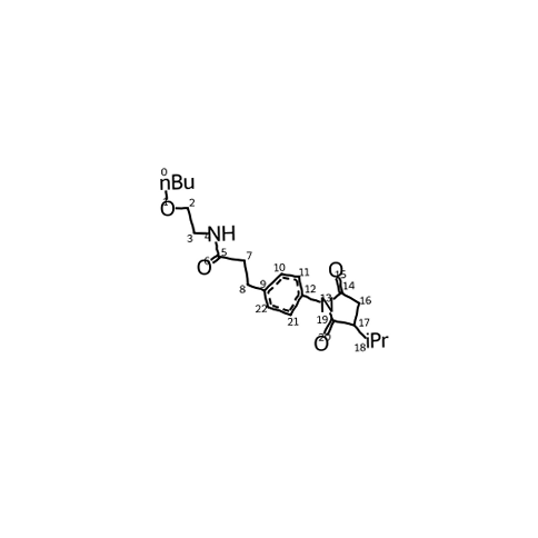 CCCCOCCNC(=O)CCc1ccc(N2C(=O)CC(C(C)C)C2=O)cc1